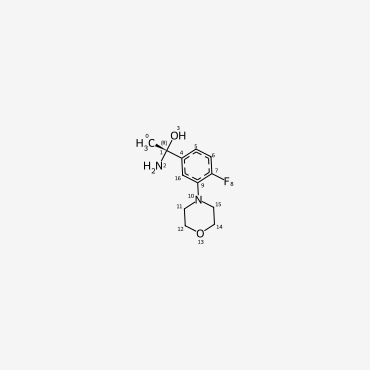 C[C@@](N)(O)c1ccc(F)c(N2CCOCC2)c1